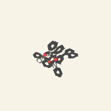 c1ccc(N(c2ccc(-c3cccc4ccccc34)cc2)c2ccc3c(c2)[Si]2(c4ccccc4O3)c3ccccc3[Si](c3ccccc3)(c3ccccc3)c3ccccc32)cc1